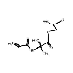 C=CC(=O)NC(C)(C)C(=O)OCC(CC)CCCC